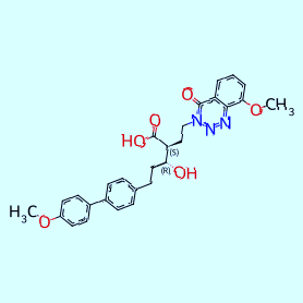 COc1ccc(-c2ccc(CC[C@@H](O)[C@H](CCn3nnc4c(OC)cccc4c3=O)C(=O)O)cc2)cc1